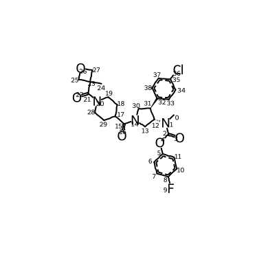 CN(C(=O)Oc1ccc(F)cc1)[C@@H]1CN(C(=O)C2CCN(C(=O)C3(C)COC3)CC2)C[C@H]1c1ccc(Cl)cc1